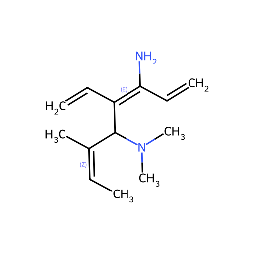 C=C/C(N)=C(/C=C)C(/C(C)=C\C)N(C)C